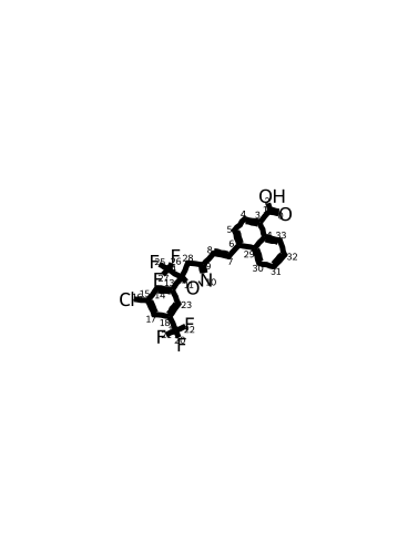 O=C(O)c1ccc(C=CC2=NOC(c3cc(Cl)cc(C(F)(F)F)c3)(C(F)(F)F)C2)c2ccccc12